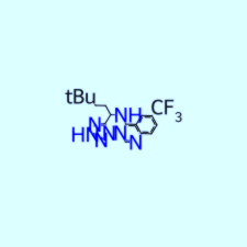 CC(C)(C)CCC(Nc1ncnc2ccc(C(F)(F)F)cc12)c1nn[nH]n1